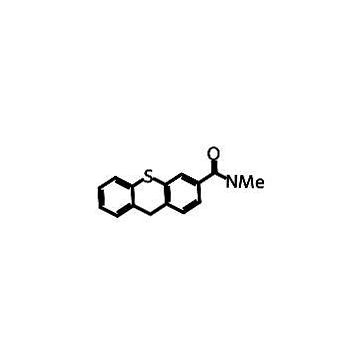 CNC(=O)c1ccc2c(c1)Sc1ccccc1C2